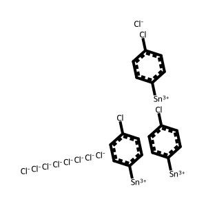 Clc1cc[c]([Sn+3])cc1.Clc1cc[c]([Sn+3])cc1.Clc1cc[c]([Sn+3])cc1.[Cl-].[Cl-].[Cl-].[Cl-].[Cl-].[Cl-].[Cl-].[Cl-].[Cl-]